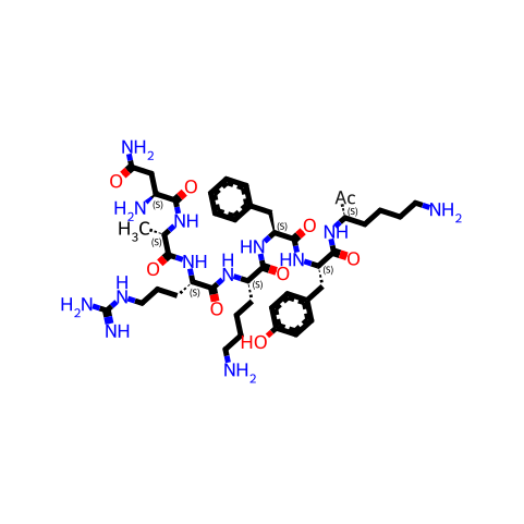 CC(=O)[C@H](CCCCN)NC(=O)[C@H](Cc1ccc(O)cc1)NC(=O)[C@H](Cc1ccccc1)NC(=O)[C@H](CCCCN)NC(=O)[C@H](CCCNC(=N)N)NC(=O)[C@H](C)NC(=O)[C@@H](N)CC(N)=O